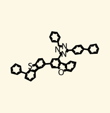 c1ccc(-c2ccc(-c3nc(-c4ccccc4)nc(-c4cc(-c5ccc6sc7c(-c8ccccc8)cccc7c6c5)cc5oc6ccccc6c45)n3)cc2)cc1